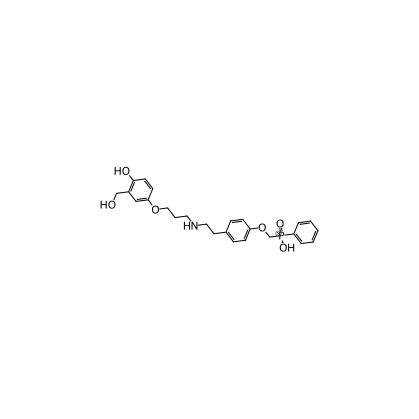 O=[P@@](O)(COc1ccc(CCNCCCOc2ccc(O)c(CO)c2)cc1)c1ccccc1